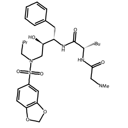 CCC(C)[C@H](NC(=O)CNC)C(=O)N[C@@H](Cc1ccccc1)[C@H](O)CN(CC(C)C)S(=O)(=O)c1ccc2c(c1)OCO2